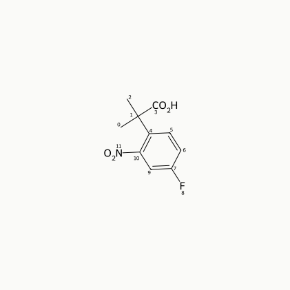 CC(C)(C(=O)O)c1ccc(F)cc1[N+](=O)[O-]